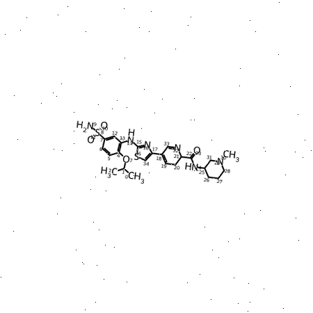 CC(C)Oc1ccc(S(N)(=O)=O)cc1Nc1nc(C2=CCC(C(=O)NC3CCCN(C)C3)N=C2)cs1